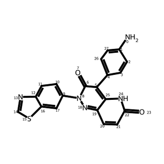 Nc1ccc(-c2c(=O)n(-c3ccc4ncsc4c3)nc3ccc(=O)[nH]c23)cc1